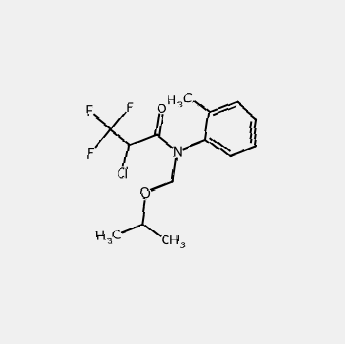 Cc1ccccc1N(COC(C)C)C(=O)C(Cl)C(F)(F)F